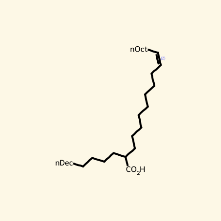 CCCCCCCC/C=C\CCCCCCCCC(CCCCCCCCCCCCCC)C(=O)O